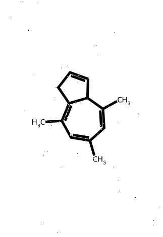 CC1=CC(C)=C2[CH]C=CC2C(C)=C1